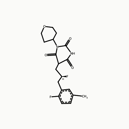 Cc1ccc(F)c(C[C@H](F)CC2C(=O)NC(=O)N(C3CCOCC3)C2=O)c1